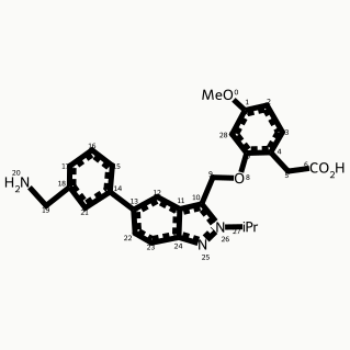 COc1ccc(CC(=O)O)c(OCc2c3cc(-c4cccc(CN)c4)ccc3nn2C(C)C)c1